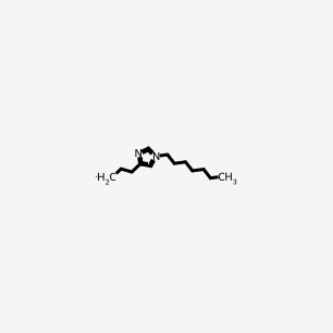 [CH2]CCc1cn(CCCCCCC)cn1